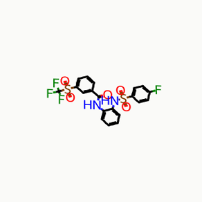 O=C(Nc1ccccc1NS(=O)(=O)c1ccc(F)cc1)c1cccc(S(=O)(=O)C(F)(F)F)c1